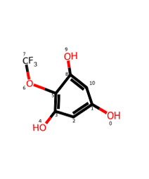 Oc1cc(O)c(OC(F)(F)F)c(O)c1